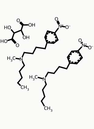 CCCCCN(C)CCCCc1ccc([N+](=O)[O-])cc1.CCCCCN(C)CCCCc1ccc([N+](=O)[O-])cc1.O=C(O)C(O)C(O)C(=O)O